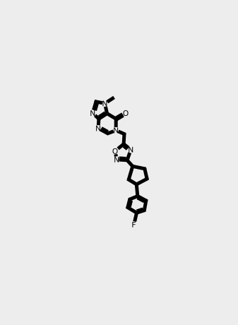 Cn1cnc2ncn(Cc3nc(C4CCC(c5ccc(F)cc5)C4)no3)c(=O)c21